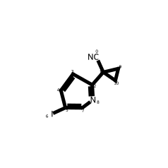 N#CC1(c2ccc(I)cn2)CC1